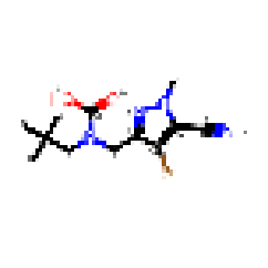 Cn1nc(CN(CC(C)(C)C)C(=O)O)c(Br)c1C#N